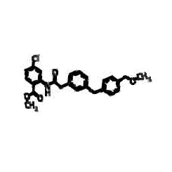 COCc1ccc(Cc2cccc(CC(=O)Nc3cc(Cl)ccc3C(=O)OC)c2)cc1